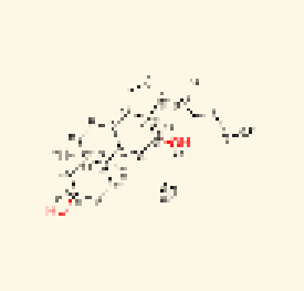 C[C@H](CCC(=O)[O-])[C@H]1CCC2C3CC[C@@H]4C[C@H](O)CC[C@]4(C)C3C[C@H](O)[C@@]21C.[Ag+]